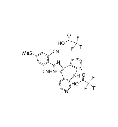 CSc1cc(C#N)c(-c2nc3c([nH]2)-c2ccncc2Nc2ncccc2-3)c(C#N)c1.O=C(O)C(F)(F)F.O=C(O)C(F)(F)F